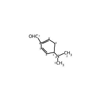 CN(C)C1C=CC(C=O)=CC1